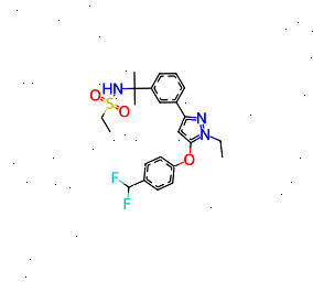 CCn1nc(-c2cccc(C(C)(C)NS(=O)(=O)CC)c2)cc1Oc1ccc(C(F)F)cc1